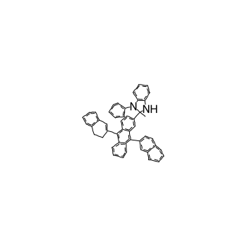 CC1(c2ccc3c(C4=Cc5ccccc5CC4)c4ccccc4c(-c4ccc5ccccc5c4)c3c2)Nc2ccccc2N1c1ccccc1